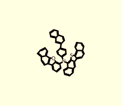 c1ccc2cc(-c3ccc(N(c4cccc5c4oc4c6ccccc6ccc54)c4c5ccccc5cc5c4sc4c6ccccc6ccc54)cc3)ccc2c1